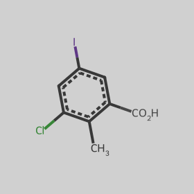 Cc1c(Cl)cc(I)cc1C(=O)O